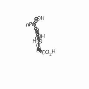 CCCN(CCc1ccc(/N=N/c2ccc(NC(=O)CNC(=O)CCOCCn3cc(CCC(=O)O)nn3)cc2)cc1)C1CCc2c(O)cccc2C1